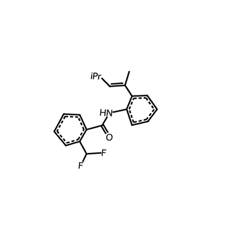 CC(=CC(C)C)c1ccccc1NC(=O)c1ccccc1C(F)F